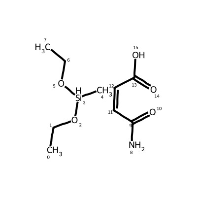 CCO[SiH](C)OCC.NC(=O)/C=C\C(=O)O